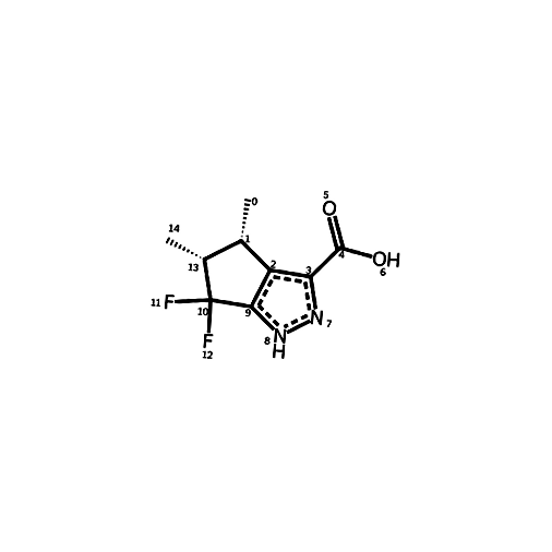 C[C@@H]1c2c(C(=O)O)n[nH]c2C(F)(F)[C@@H]1C